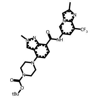 Cc1cn2cc(NC(=O)c3ccc(N4CCN(C(=O)OC(C)(C)C)CC4)c4cn(C)nc34)cc(C(F)(F)F)c2n1